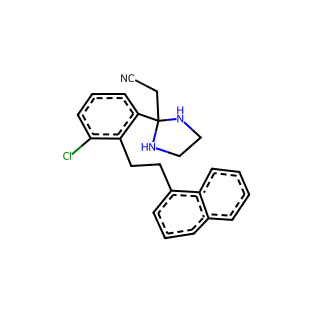 N#CCC1(c2cccc(Cl)c2CCc2cccc3ccccc23)NCCN1